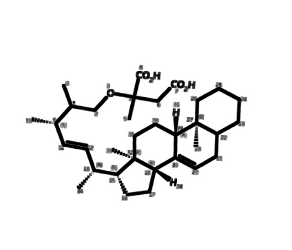 CC(COC(C)(CC(=O)O)C(=O)O)[C@@H](C)C=C[C@@H](C)[C@H]1CC[C@H]2C3=CCC4CCCC[C@]4(C)[C@H]3CC[C@]12C